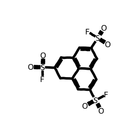 O=S(=O)(F)C1=Cc2cc(S(=O)(=O)F)cc3cc(S(=O)(=O)F)cc(c23)C1